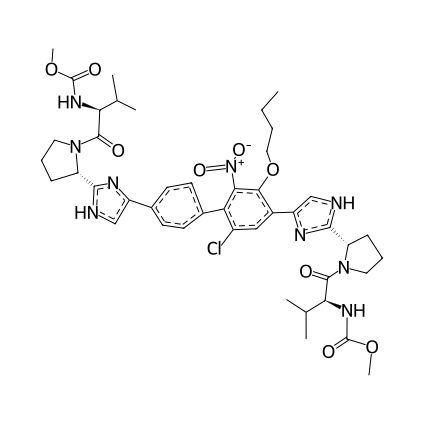 CCCCOc1c(-c2c[nH]c([C@@H]3CCCN3C(=O)[C@@H](NC(=O)OC)C(C)C)n2)cc(Cl)c(-c2ccc(-c3c[nH]c([C@@H]4CCCN4C(=O)[C@@H](NC(=O)OC)C(C)C)n3)cc2)c1[N+](=O)[O-]